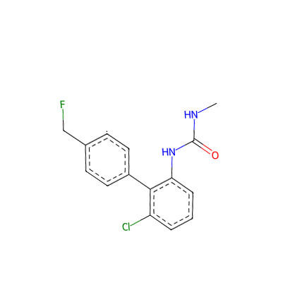 CNC(=O)Nc1cccc(Cl)c1-c1c[c]c(CF)cc1